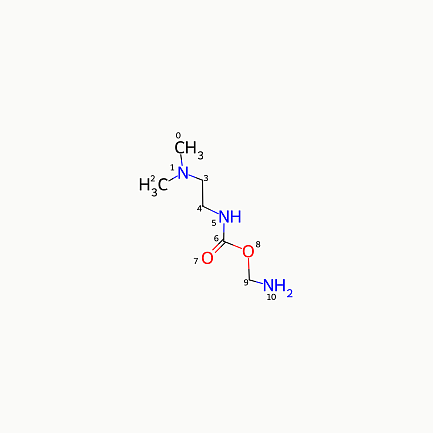 CN(C)CCNC(=O)OCN